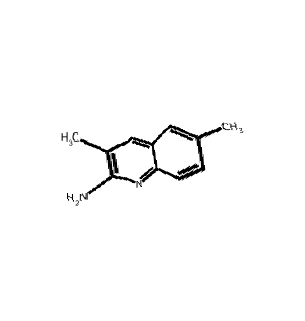 Cc1ccc2nc(N)c(C)cc2c1